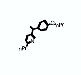 CCCOc1ccc(C(C)c2ccc(CCC)nc2)cc1